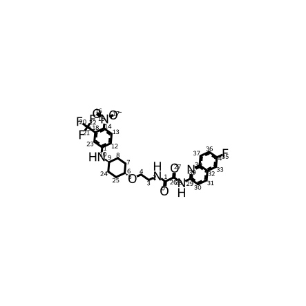 O=C(NCCO[C@H]1CC[C@H](Nc2ccc([N+](=O)[O-])c(C(F)(F)F)c2)CC1)C(=O)Nc1ccc2cc(F)ccc2n1